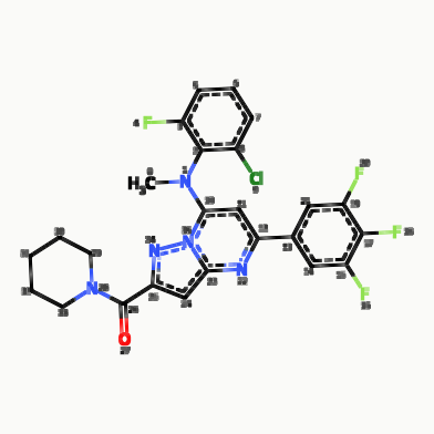 CN(c1c(F)cccc1Cl)c1cc(-c2cc(F)c(F)c(F)c2)nc2cc(C(=O)N3CCCCC3)nn12